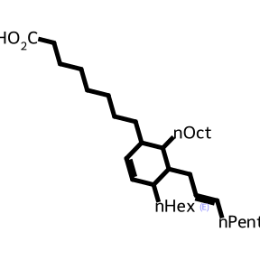 CCCCC/C=C/CC1C(CCCCCC)C=CC(CCCCCCCC(=O)O)C1CCCCCCCC